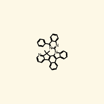 CC1(C)c2ncccc2-c2c1c1c(c3ccccc23)c2ccccc2n1-c1nc(-c2ccccc2)c2ccccc2n1